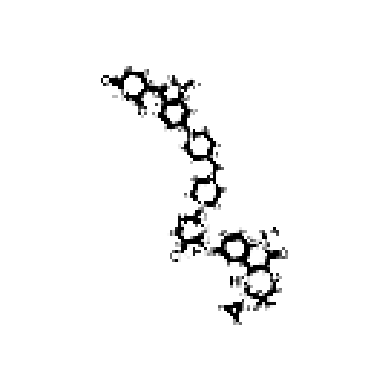 CC(C)n1c(=O)c2c(c3cc(Nc4nc(N5CCN(CC6CCN(c7ccc8c(C9CCC(=O)NC9=O)nn(C)c8c7)CC6)CC5)ncc4Cl)ccc31)N[C@@H](C1CC1)C(F)(F)CO2